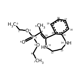 CCOP(=O)(OCC)C(C)=C1NCCNc2ccccc21